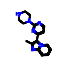 Cc1nc2ccccn2c1-c1ccnc(N2CCNCC2)n1